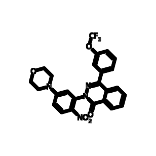 O=c1c2ccccc2c(-c2cccc(OC(F)(F)F)c2)nn1-c1cc(N2CCOCC2)ccc1[N+](=O)[O-]